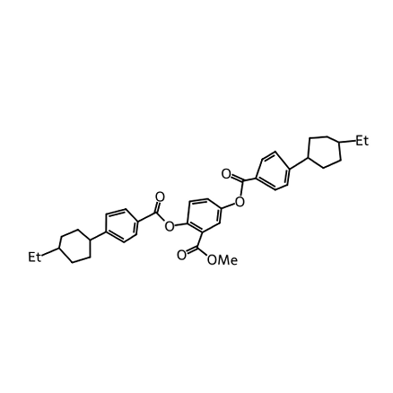 CCC1CCC(c2ccc(C(=O)Oc3ccc(OC(=O)c4ccc(C5CCC(CC)CC5)cc4)c(C(=O)OC)c3)cc2)CC1